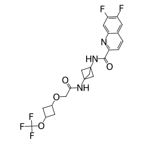 O=C(COC1CC(OC(F)(F)F)C1)NC12CC(NC(=O)c3ccc4cc(F)c(F)cc4n3)(C1)C2